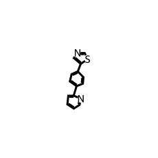 c1ccc(-c2ccc(-c3cncs3)cc2)nc1